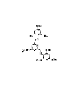 CCCCc1cc(CCCC)c(N=Cc2cc(Cl)cc(C=Nc3c(CCCC)cc(CCCC)cc3CCCC)n2)c(CCCC)c1.[Cl-].[Cl-].[V+2]